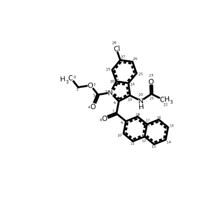 CCOC(=O)n1c(C(=O)c2ccc3ccccc3c2)c(NC(C)=O)c2ccc(Cl)cc21